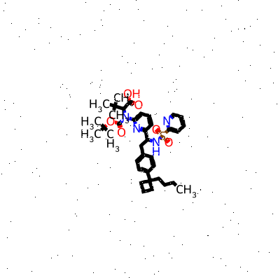 CCCCC1(c2ccc(CC(NS(=O)(=O)c3ccccn3)c3cccc(N(C(=O)OC(C)(C)C)C(C(=O)O)C(C)(C)C)n3)cc2)CCC1